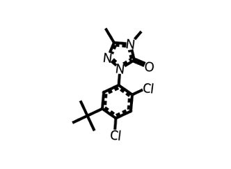 Cc1nn(-c2cc(C(C)(C)C)c(Cl)cc2Cl)c(=O)n1C